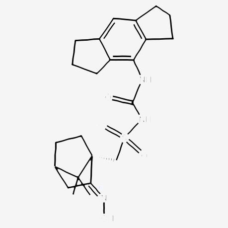 CC1(C)C2CC[C@@]1(CS(=O)(=O)NC(=O)Nc1c3c(cc4c1CCC4)CCC3)/C(=N/O)C2